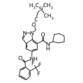 C[Si](C)(C)CCOCn1ncc2cc(NC(=O)c3ccccc3C(F)(F)F)cc(C(=O)NC3CCCCC3)c21